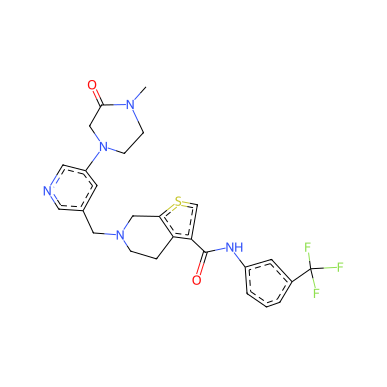 CN1CCN(c2cncc(CN3CCc4c(C(=O)Nc5cccc(C(F)(F)F)c5)csc4C3)c2)CC1=O